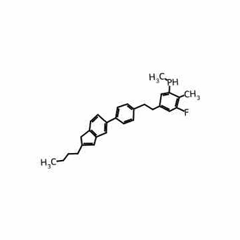 CCCCC1=Cc2cc(-c3ccc(CCc4cc(F)c(C)c(PC)c4)cc3)ccc2C1